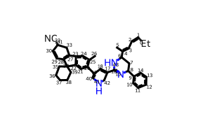 CC/C=C\C=C(/C)C1CC(c2ccccc2)N=C(C2=CC(c3cc4c(cc3C)C3=C(C=CC(C#N)C3)C43CCCCC3)=CNC2)N1